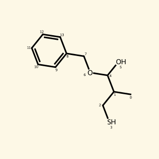 CC(CS)C(O)OCc1ccccc1